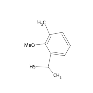 COc1c(C)cccc1C(C)S